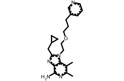 Cc1nc(N)c2nc(CC3CC3)n(CCOCCCc3cccnc3)c2c1C